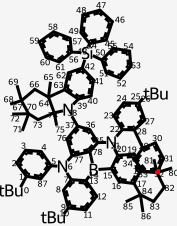 CC(C)(C)c1cccc(N2c3cc(C(C)(C)C)ccc3B3c4cc5c(cc4N(c4ccc(C(C)(C)C)cc4-c4ccccc4)c4cc(N6c7ccc([Si](c8ccccc8)(c8ccccc8)c8ccccc8)cc7C7(C)CC(C)(C)C(C)(C)CC67C)cc2c43)C(C)(C)CCC5(C)C)c1